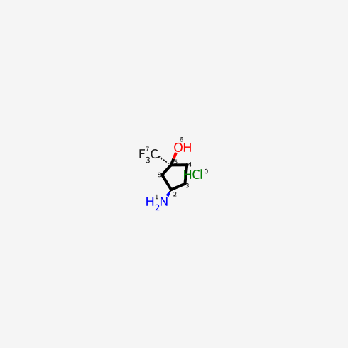 Cl.N[C@@H]1CC[C@@](O)(C(F)(F)F)C1